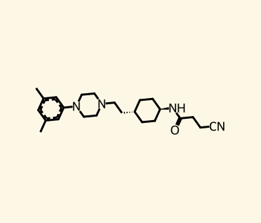 Cc1cc(C)cc(N2CCN(CC[C@H]3CC[C@H](NC(=O)CCC#N)CC3)CC2)c1